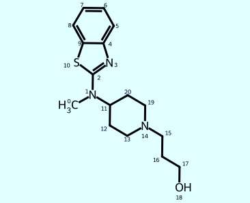 CN(c1nc2ccccc2s1)C1CCN(CCCO)CC1